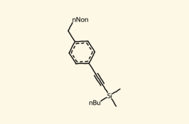 CCCCCCCCCCc1ccc(C#C[Si](C)(C)CCCC)cc1